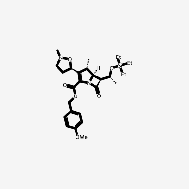 CC[Si](CC)(CC)O[C@H](C)[C@H]1C(=O)N2C(C(=O)OCc3ccc(OC)cc3)=C([C@H]3CCN(C)O3)[C@H](C)[C@@H]12